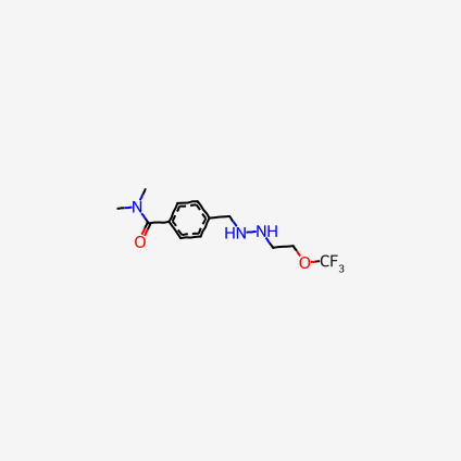 CN(C)C(=O)c1ccc(CNNCCOC(F)(F)F)cc1